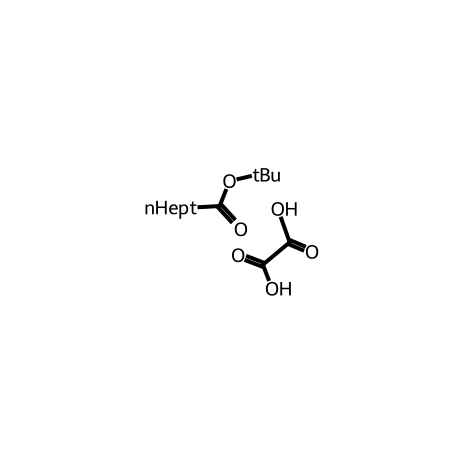 CCCCCCCC(=O)OC(C)(C)C.O=C(O)C(=O)O